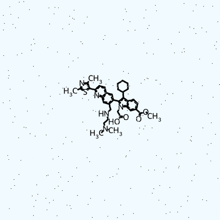 COC(=O)c1ccc2c(C3CCCCC3)c(-c3cc4ccc(-c5sc(C)nc5C)nc4cc3CNCCN(C)C)n(CC(=O)O)c2c1